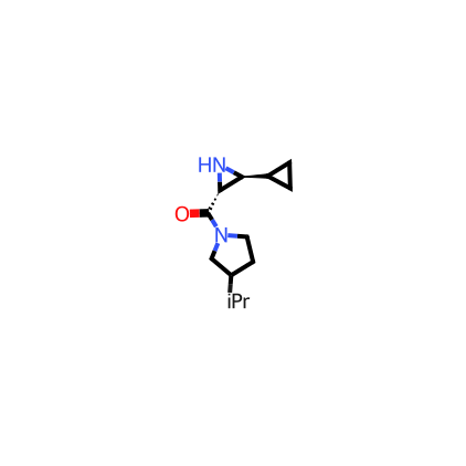 CC(C)C1CCN(C(=O)[C@@H]2N[C@H]2C2CC2)C1